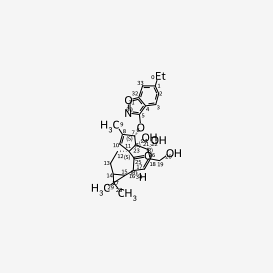 CCc1ccc2c(O[C@H]3C(C)=C[C@@]45CCC6C([C@H](C=C(CO)[C@@H](O)[C@]34O)C5=O)C6(C)C)noc2c1